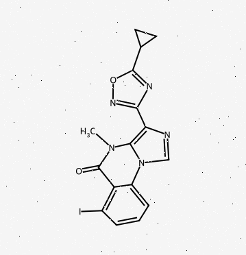 Cn1c(=O)c2c(I)cccc2n2cnc(-c3noc(C4CC4)n3)c12